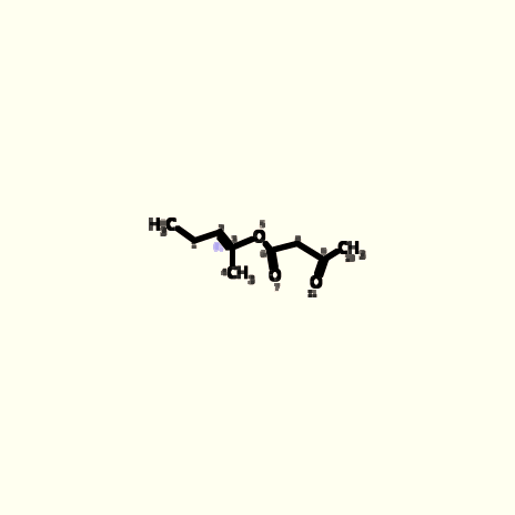 CC/C=C(\C)OC(=O)CC(C)=O